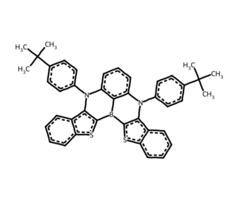 CC(C)(C)c1ccc(N2c3cccc4c3B(c3sc5ccccc5c32)c2sc3ccccc3c2N4c2ccc(C(C)(C)C)cc2)cc1